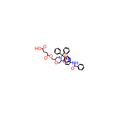 O=C(O)CCC(=O)OCC1CN(C(c2ccccc2)(c2ccccc2)c2ccccc2)C(n2ccc(NC(=O)c3ccccc3)nc2=O)CO1